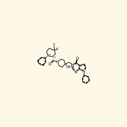 O=C([C@H]1CC(F)(F)CC[C@@H]1c1ccccc1)N1CCC(O)(Cn2cnc3c(ccn3-c3ccccc3)c2=O)CC1